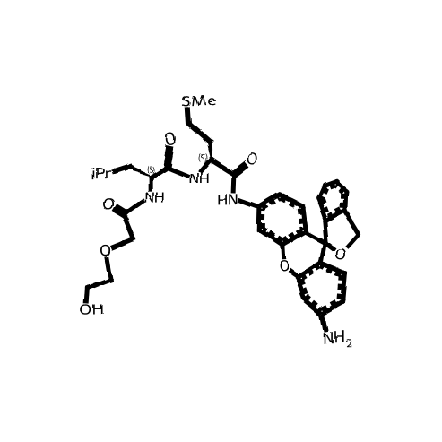 CSCC[C@H](NC(=O)[C@H](CC(C)C)NC(=O)COCCO)C(=O)Nc1ccc2c(c1)Oc1cc(N)ccc1C21OCc2ccccc21